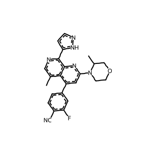 Cc1cnc(-c2ccn[nH]2)c2nc(N3CCOCC3C)cc(-c3ccc(C#N)c(F)c3)c12